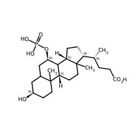 C[C@H](CCC(=O)O)[C@H]1CC[C@H]2C3[C@H](OP(=O)(O)O)CC4C[C@H](O)CCC4(C)[C@H]3CCC12C